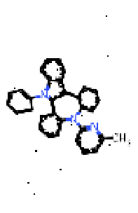 Cc1cccc(N2c3ccccc3-c3c(n(C4=CC=CCC4)c4ccccc34)-c3ccccc32)n1